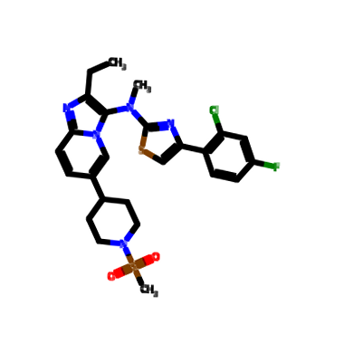 CCc1nc2ccc(C3CCN(S(C)(=O)=O)CC3)cn2c1N(C)c1nc(-c2ccc(F)cc2Cl)cs1